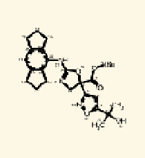 CC(C)(C)OC(=O)C1(c2cc(C(C)(C)O)on2)CN=C(Nc2c3c(cc4c2CCC4)CCC3)O1